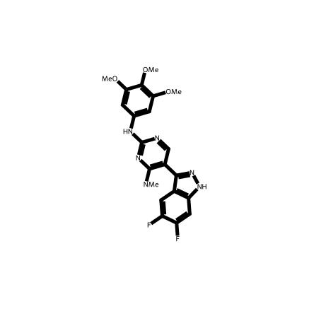 CNc1nc(Nc2cc(OC)c(OC)c(OC)c2)ncc1-c1n[nH]c2cc(F)c(F)cc12